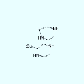 C1CNCCN1.CC(C)(C)C1CNCCN1